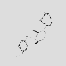 COc1ccc(CN2C(=O)CCN(c3cncc(O)c3)C2=O)cc1